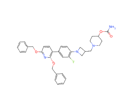 NC(=O)OC1CCN(CC2CN(c3ccc(-c4ccc(OCc5ccccc5)nc4OCc4ccccc4)cc3F)C2)CC1